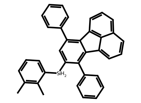 Cc1cccc([SiH2]c2cc(-c3ccccc3)c3c(c2-c2ccccc2)-c2cccc4cccc-3c24)c1C